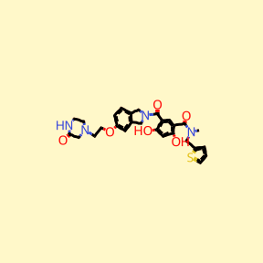 CN(Cc1cccs1)C(=O)c1cc(C(=O)N2Cc3ccc(OCCN4CCNC(=O)C4)cc3C2)c(O)cc1O